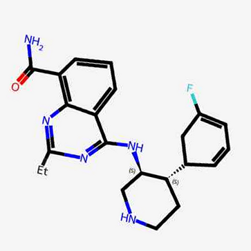 CCc1nc(N[C@@H]2CNCC[C@H]2C2C=CC=C(F)C2)c2cccc(C(N)=O)c2n1